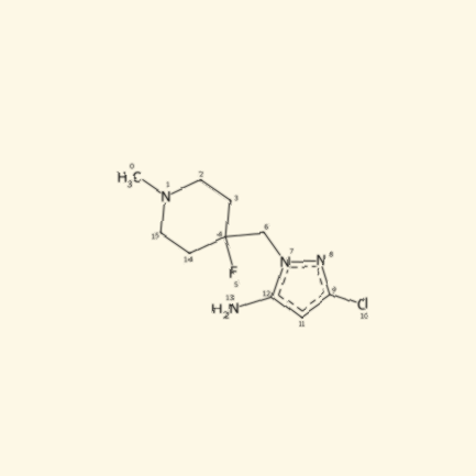 CN1CCC(F)(Cn2nc(Cl)cc2N)CC1